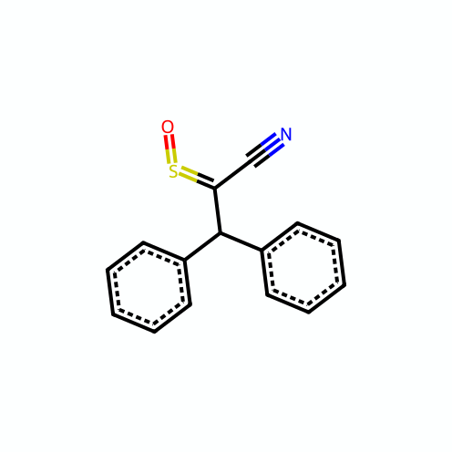 N#CC(=S=O)C(c1ccccc1)c1ccccc1